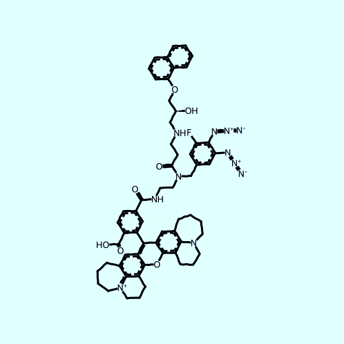 [N-]=[N+]=Nc1cc(CN(CCNC(=O)c2ccc(C(=O)O)c(C3=c4cc5c6c(c4Oc4c3cc3c7c4CCCN7CCCC3)CCC[N+]=6CCCC5)c2)C(=O)CCNC[C@H](O)COc2cccc3ccccc23)cc(F)c1N=[N+]=[N-]